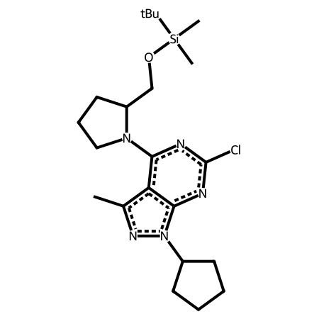 Cc1nn(C2CCCC2)c2nc(Cl)nc(N3CCCC3CO[Si](C)(C)C(C)(C)C)c12